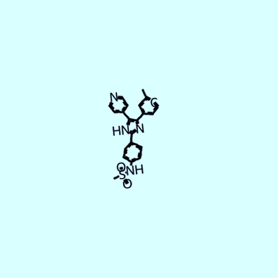 Cc1cccc(-c2nc(-c3ccc(NS(C)(=O)=O)cc3)[nH]c2-c2ccncc2)c1